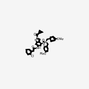 COc1ccc(CN(Cc2ccc(OC)cc2)S(=O)(=O)c2cc(NC(=O)Cc3ccccc3Cl)cc3nn(C(=O)C4CC4)cc23)cc1